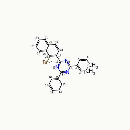 C/C=C\C(=C/C)c1nc(C2=CC=CCC2)nc(-c2ccc3ccccc3c2Br)n1